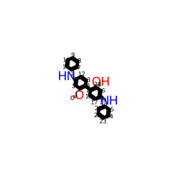 COc1cc(Nc2ccccc2)ccc1-c1ccc(Nc2ccccc2)cc1O